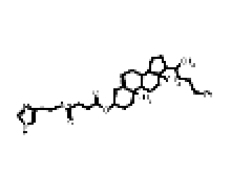 CC(C)CCCC(C)C1CCC2C3CC=C4CC(OC(=O)CCC(=O)NCCc5c[nH]cn5)CCC4(C)C3CCC12C